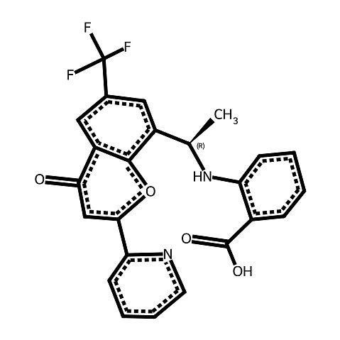 C[C@@H](Nc1ccccc1C(=O)O)c1cc(C(F)(F)F)cc2c(=O)cc(-c3ccccn3)oc12